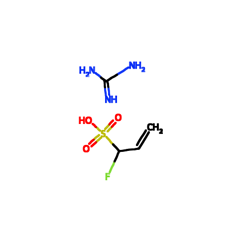 C=CC(F)S(=O)(=O)O.N=C(N)N